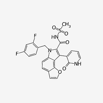 CS(=O)(=O)NC(=O)c1c(-c2ccc[nH]c2=O)c2c3occc3ccc2n1Cc1ccc(F)cc1F